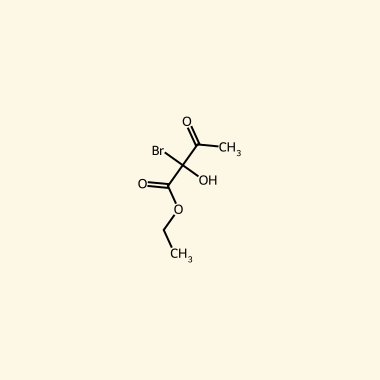 CCOC(=O)C(O)(Br)C(C)=O